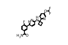 NC(=O)c1ccc(F)c(-c2ccc(NC3(c4ccc(OC(F)F)cn4)CCC3)nn2)c1